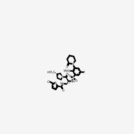 COc1c(N2CCCCC2=O)cc(F)cc1S(=O)(=O)N[C@@H](CNC(=O)c1ccc(Cl)s1)C(=O)N1CC[C@H](C(=O)O)C1